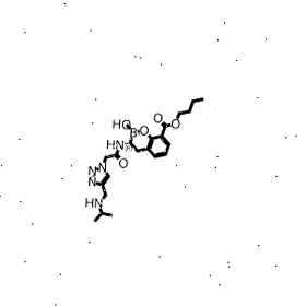 CCCCOC(=O)c1cccc2c1OB(O)[C@@H](NC(=O)Cn1cc(CNC(C)C)nn1)C2